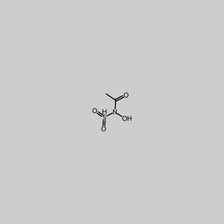 CC(=O)N(O)[SH](=O)=O